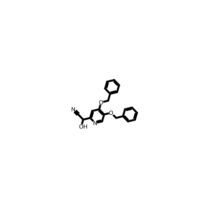 N#CC(O)c1cc(OCc2ccccc2)c(OCc2ccccc2)cn1